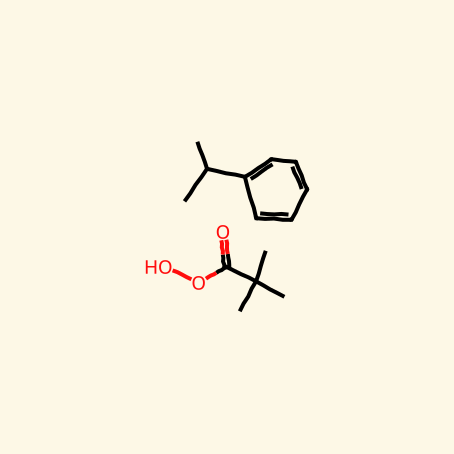 CC(C)(C)C(=O)OO.CC(C)c1ccccc1